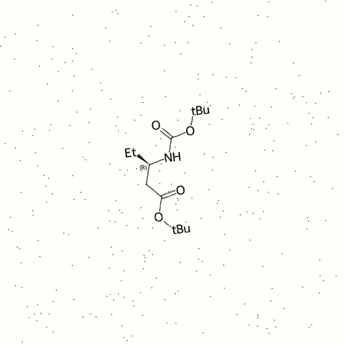 CC[C@H](CC(=O)OC(C)(C)C)NC(=O)OC(C)(C)C